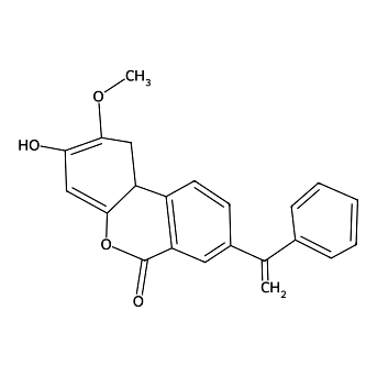 C=C(c1ccccc1)c1ccc2c(c1)C(=O)OC1=CC(O)=C(OC)CC12